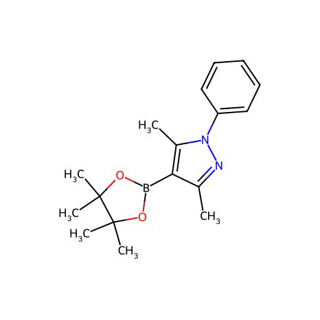 Cc1nn(-c2ccccc2)c(C)c1B1OC(C)(C)C(C)(C)O1